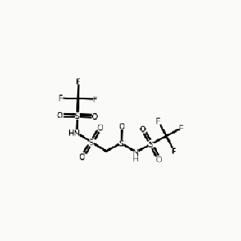 O=S(=O)(C[S+]([O-])NS(=O)(=O)C(F)(F)F)NS(=O)(=O)C(F)(F)F